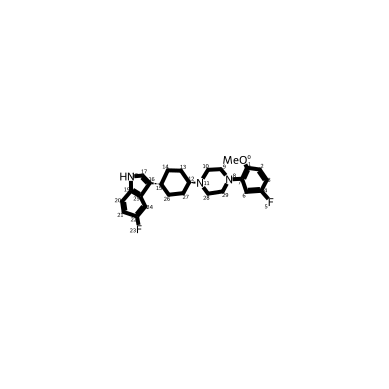 COc1ccc(F)cc1N1CCN([C@H]2CC[C@@H](c3c[nH]c4ccc(F)cc43)CC2)CC1